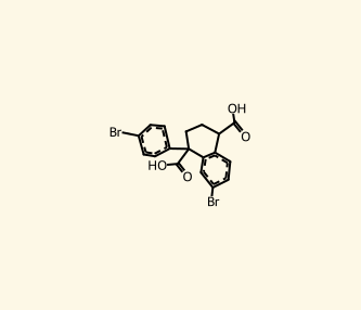 O=C(O)C1CCC(C(=O)O)(c2ccc(Br)cc2)c2cc(Br)ccc21